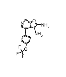 Nc1oc2cncc(-c3ccc(OC(F)(F)F)cc3)c2c1N